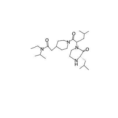 CCN(C(=O)CC1CCN(C(=O)C(CC(C)C)N2CCN[C@@H](CC(C)C)C2=O)CC1)C(C)C